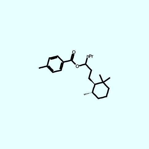 CCCC(CC[C@@H]1[C@@H](C)CCCC1(C)C)OC(=O)c1ccc(C)cc1